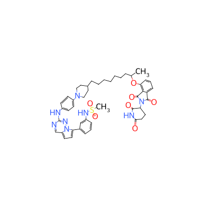 CC(CCCCCCCC1CCN(c2ccc(Nc3ncc4ccc(-c5cccc(NS(C)(=O)=O)c5)n4n3)cc2)CC1)Oc1cccc2c1C(=O)N(C1CCC(=O)NC1=O)C2=O